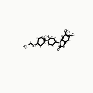 CCOC1CCC(C)(N2CCC(N3C(=O)N=C4CC(Cl)=C(C)C=C43)CC2)CC1